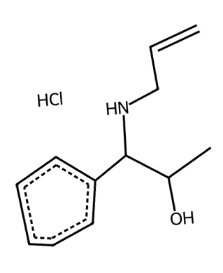 C=CCNC(c1ccccc1)C(C)O.Cl